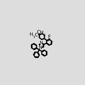 CC1(C)CCC(c2c(F)[c]ccc2-c2cn(C(c3ccccc3)(c3ccccc3)c3ccccc3)cn2)CC1